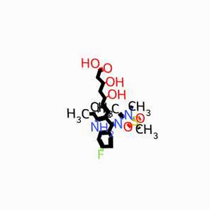 C=C(\N=C(C(/C=C/[C@@H](O)C[C@@H](O)CC(=O)O)=C(\N)C(C)C)\c1ccc(F)cc1)N(C)S(C)(=O)=O